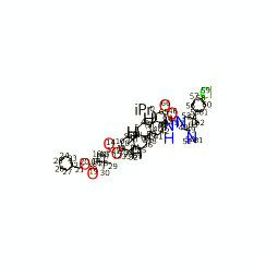 CC(C)C1=C2[C@H]3CC[C@@H]4[C@@]5(C)CC[C@H](OC(=O)[C@H]6C[C@@H](C(=O)OCc7ccccc7)C6(C)C)C(C)(C)[C@@H]5CC[C@@]4(C)[C@]3(C)CC[C@@]2(NC(=O)N(CCN(C)C)CC2(c3ccc(Cl)cc3)CC2)CC1=O